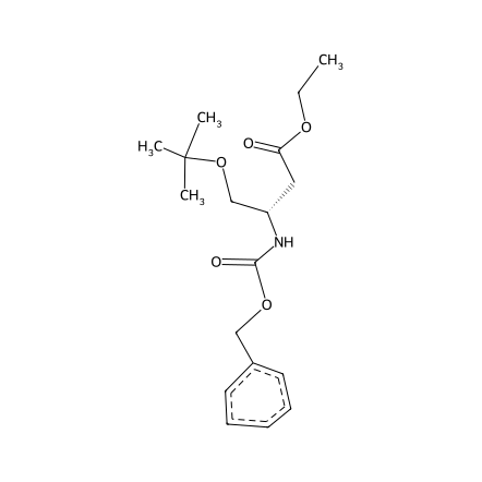 CCOC(=O)C[C@@H](COC(C)(C)C)NC(=O)OCc1ccccc1